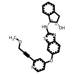 COCC#Cc1cc(Oc2ccc3nc(N[C@@H]4c5ccccc5C[C@@H]4O)sc3c2)ccn1